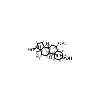 CC(=O)O[C@H]1C[C@H]2[C@@H]3CC[C@H](O)[C@@]3(C)CC[C@@H]2[C@@]2(C)CC[C@H](O)CC12